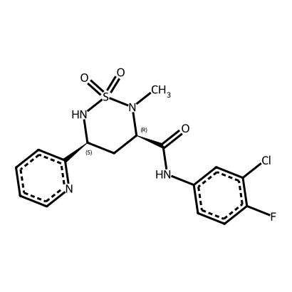 CN1[C@@H](C(=O)Nc2ccc(F)c(Cl)c2)C[C@@H](c2ccccn2)NS1(=O)=O